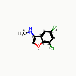 CNc1coc2c(Cl)cc(Br)cc12